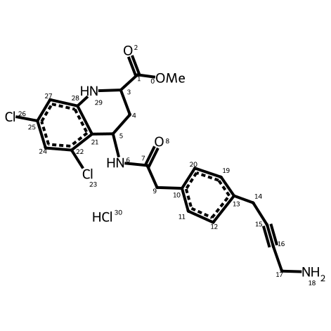 COC(=O)C1CC(NC(=O)Cc2ccc(CC#CCN)cc2)c2c(Cl)cc(Cl)cc2N1.Cl